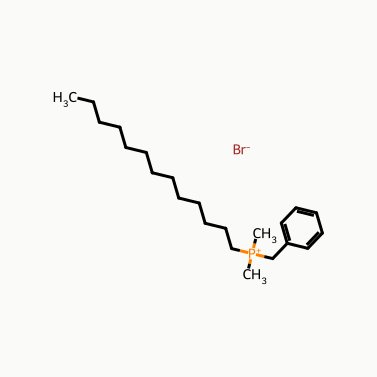 CCCCCCCCCCCCC[P+](C)(C)Cc1ccccc1.[Br-]